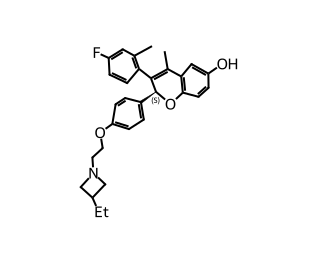 CCC1CN(CCOc2ccc([C@@H]3Oc4ccc(O)cc4C(C)=C3c3ccc(F)cc3C)cc2)C1